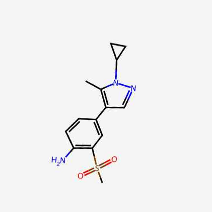 Cc1c(-c2ccc(N)c(S(C)(=O)=O)c2)cnn1C1CC1